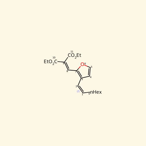 CCCCCC/C=C\c1ccoc1C=C(C(=O)OCC)C(=O)OCC